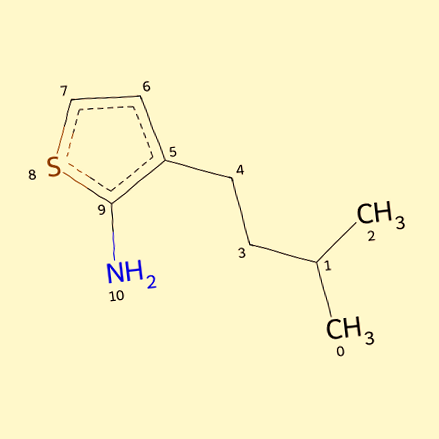 CC(C)CCc1ccsc1N